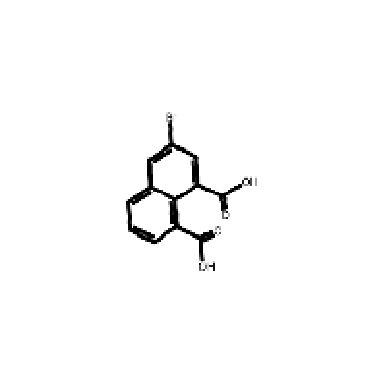 O=C(O)c1cccc2cc(Br)cc(C(=O)O)c12